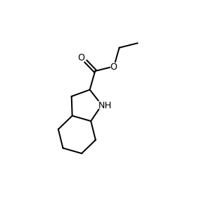 CCOC(=O)C1CC2CCCCC2N1